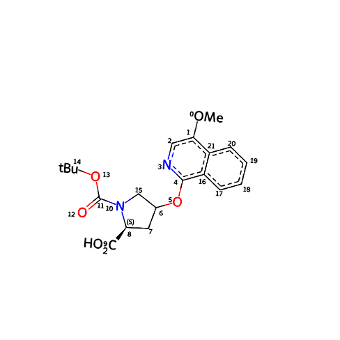 COc1cnc(OC2C[C@@H](C(=O)O)N(C(=O)OC(C)(C)C)C2)c2ccccc12